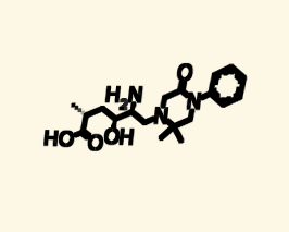 C[C@H](C[C@H](O)[C@@H](N)CN1CC(=O)N(c2ccccc2)CC1(C)C)C(=O)O